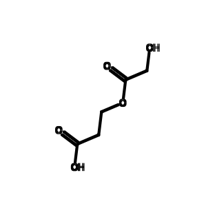 O=C(O)CCOC(=O)CO